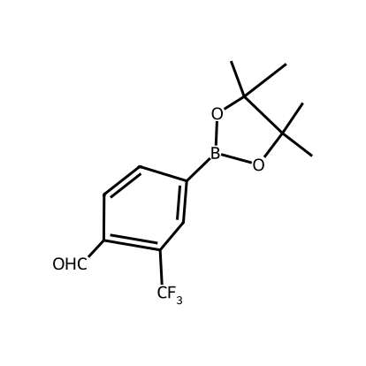 CC1(C)OB(c2ccc(C=O)c(C(F)(F)F)c2)OC1(C)C